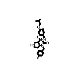 CC(C)COc1ccc(CNC(=O)N(Cc2ccc(F)cc2)C2CCNCC2CF)cc1